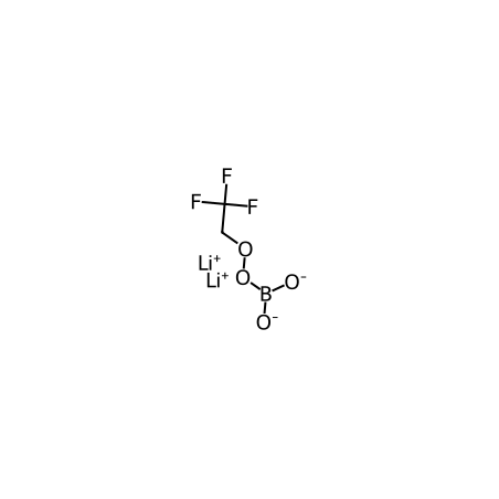 [Li+].[Li+].[O-]B([O-])OOCC(F)(F)F